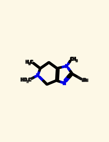 CC1Cc2c(nc(C(C)(C)C)n2C)CN1C(=O)O